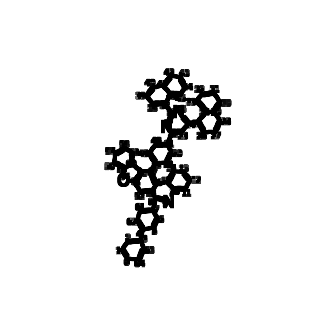 c1ccc(-c2ccc(-c3nc4ccccc4c4c(-c5ccc(-c6cc(-c7cccc8ccccc78)nc(-c7cccc8ccccc78)n6)cc5)c5c(cc34)oc3ccccc35)cc2)cc1